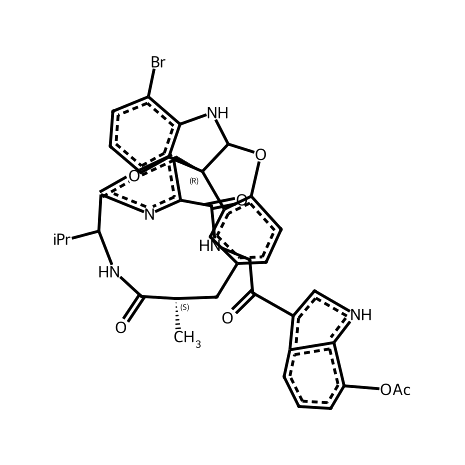 CC(=O)Oc1cccc2c(C(=O)CNC(=O)c3nc4oc3[C@]35c6cc(ccc6OC3Nc3c(Br)cccc35)C[C@H](C)C(=O)NC4C(C)C)c[nH]c12